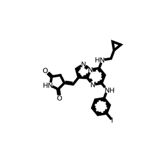 O=C1C/C(=C\c2cnn3c(NCC4CC4)cc(Nc4cccc(I)c4)nc23)C(=O)N1